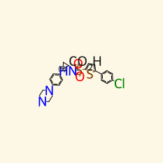 CN1CCN(c2ccc([C@@H]3CC3(NS(=O)(=O)c3ccc(-c4ccc(Cl)cc4)s3)C(=O)O)cc2)CC1